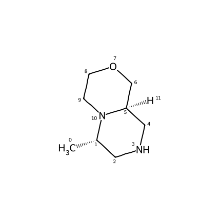 C[C@H]1CNC[C@@H]2COCCN21